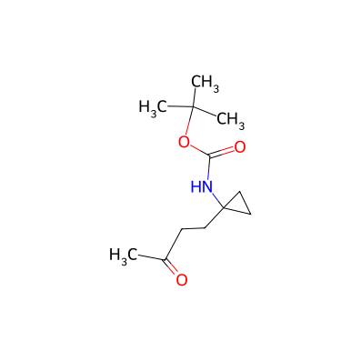 CC(=O)CCC1(NC(=O)OC(C)(C)C)CC1